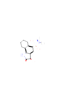 CCN(CC)S(=O)(=O)c1cc2c(c3c1CCCC3)NC(=O)C2=O